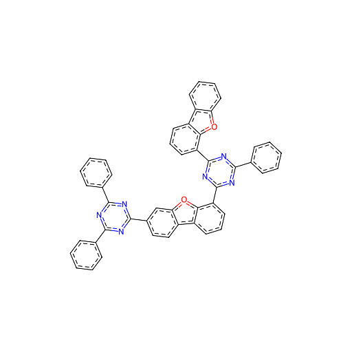 c1ccc(-c2nc(-c3ccccc3)nc(-c3ccc4c(c3)oc3c(-c5nc(-c6ccccc6)nc(-c6cccc7c6oc6ccccc67)n5)cccc34)n2)cc1